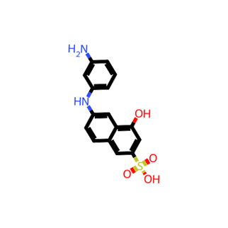 Nc1cccc(Nc2ccc3cc(S(=O)(=O)O)cc(O)c3c2)c1